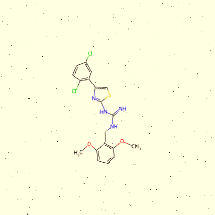 COc1cccc(OC)c1CNC(=N)Nc1nc(-c2cc(Cl)ccc2Cl)cs1